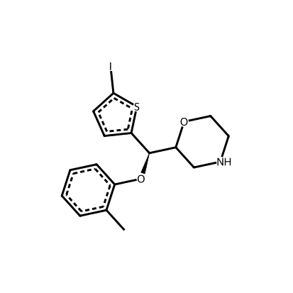 Cc1ccccc1O[C@@H](c1ccc(I)s1)C1CNCCO1